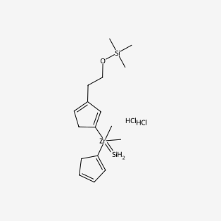 C[Si](C)(C)OCCC1=CC[C]([Zr]([CH3])([CH3])(=[SiH2])[C]2=CC=CC2)=C1.Cl.Cl